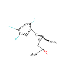 COC(=O)C[C@@H](Cc1cc(F)c(F)cc1F)NC(C)=O